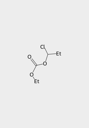 CCOC(=O)OC(Cl)CC